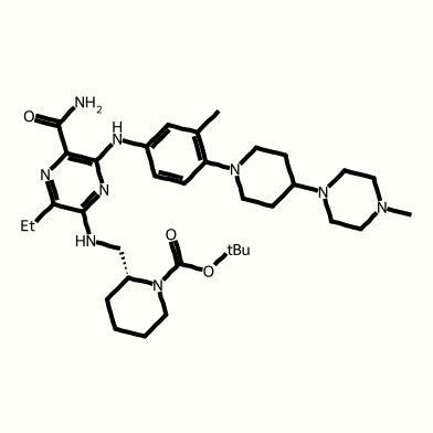 CCc1nc(C(N)=O)c(Nc2ccc(N3CCC(N4CCN(C)CC4)CC3)c(C)c2)nc1NC[C@H]1CCCCN1C(=O)OC(C)(C)C